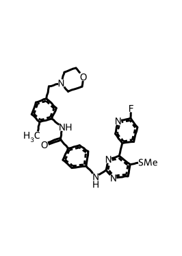 CSc1cnc(Nc2ccc(C(=O)Nc3cc(CN4CCOCC4)ccc3C)cc2)nc1-c1ccc(F)nc1